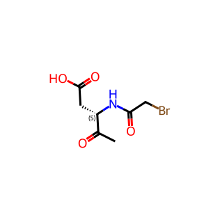 CC(=O)[C@H](CC(=O)O)NC(=O)CBr